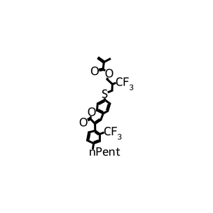 C=C(C)C(=O)OCC(CSc1ccc2cc(-c3ccc(CCCCC)cc3C(F)(F)F)c(=O)oc2c1)C(F)(F)F